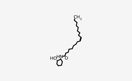 CCCCCCCC/C=C\CCCCCCCC(=O)N[C@H]1CCCC[C@@H]1O